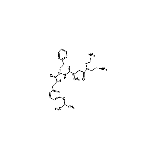 CC(C)Oc1cccc(CNC(=O)[C@H](CCc2ccccc2)NC(=O)[C@@H](N)CC(=O)N(CCN)CCN)c1